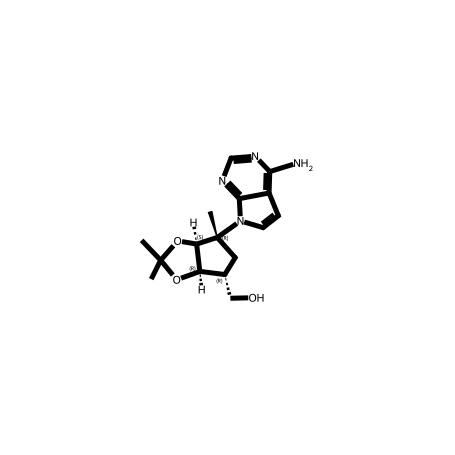 CC1(C)O[C@@H]2[C@@H](CO)C[C@@](C)(n3ccc4c(N)ncnc43)[C@@H]2O1